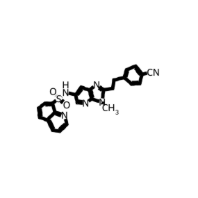 Cn1c(CCc2ccc(C#N)cc2)nc2cc(NS(=O)(=O)c3cccc4cccnc34)cnc21